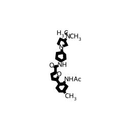 CC(=O)Nc1cc(C)ccc1-c1ccc(C(=O)Nc2ccc(N3CCC(N(C)C)C3)cc2)o1